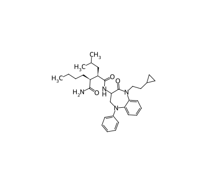 CCCC[C@H](C(N)=O)[C@@H](CC(C)C)C(=O)NC1CN(c2ccccc2)c2ccccc2N(CCC2CC2)C1=O